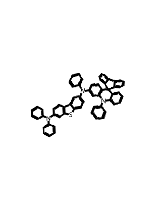 c1ccc(N(c2ccccc2)c2ccc3c(c2)sc2ccc(N(c4ccccc4)c4ccc5c(c4)N(c4ccccc4)c4ccccc4C54c5ccccc5-c5ccccc54)cc23)cc1